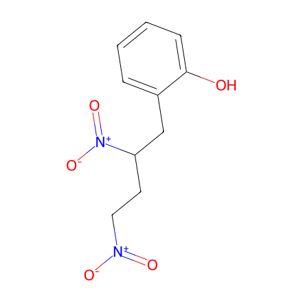 O=[N+]([O-])CCC(Cc1ccccc1O)[N+](=O)[O-]